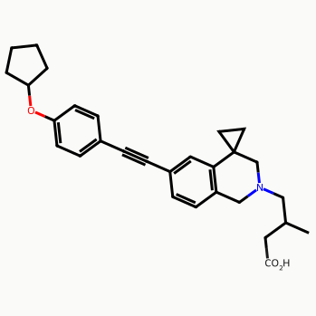 CC(CC(=O)O)CN1Cc2ccc(C#Cc3ccc(OC4CCCC4)cc3)cc2C2(CC2)C1